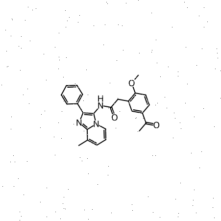 COc1ccc(C(C)=O)cc1CC(=O)Nc1c(-c2ccccc2)nc2c(C)cccn12